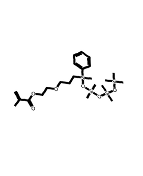 C=C(C)C(=O)OCCOCCC[Si](C)(O[Si](C)(C)O[Si](C)(C)O[Si](C)(C)C)c1ccccc1